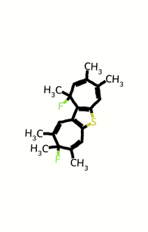 CC1=Cc2sc3c(c2C(C)(F)C=C1C)C=C(C)C(C)(F)C(C)=C3